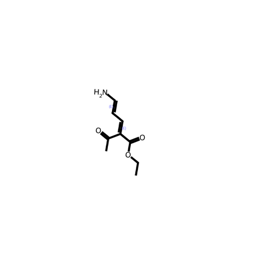 CCOC(=O)/C(=C/C=C/N)C(C)=O